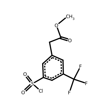 COC(=O)Cc1cc(C(F)(F)F)cc(S(=O)(=O)Cl)c1